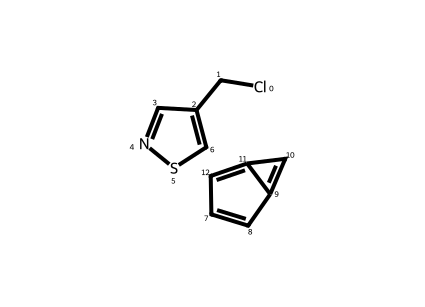 ClCc1cnsc1.c1cc2cc-2c1